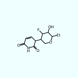 CCC1OCC(C2C=CC(=O)NC2=O)C(F)C1O